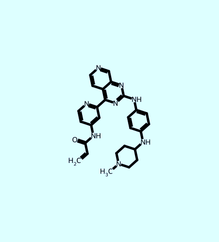 C=CC(=O)Nc1ccnc(-c2nc(Nc3ccc(NC4CCN(C)CC4)cc3)nc3cnccc23)c1